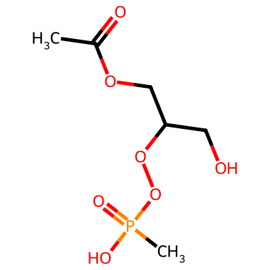 CC(=O)OCC(CO)OOP(C)(=O)O